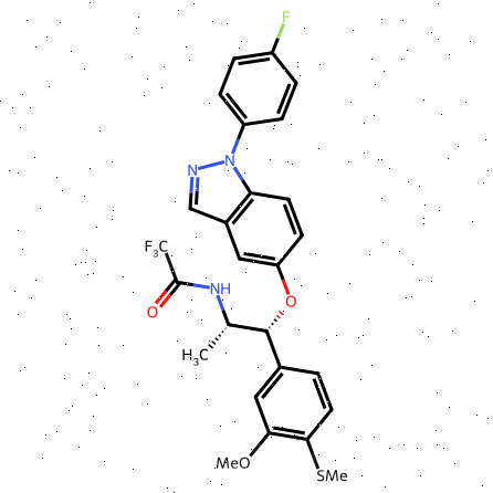 COc1cc([C@@H](Oc2ccc3c(cnn3-c3ccc(F)cc3)c2)[C@H](C)NC(=O)C(F)(F)F)ccc1SC